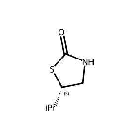 CC(C)[C@H]1CNC(=O)S1